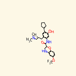 CN(C)CCCc1cc(C2CCCC2)c(O)cc1NC(=O)C1CNc2cc(OC(F)(F)F)ccc2O1